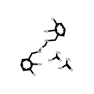 CC(=O)O.CC(=O)O.Oc1c(Cl)cccc1CNCCNCc1cccc(Cl)c1O